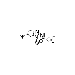 N#Cc1ccc2nc(NC(=O)C3CC(F)(F)C3)n(C3=CC=C3)c2c1